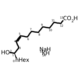 CCCCCC[C@@H](O)C/C=C\CCCCCCCC(=O)O.[KH].[NaH]